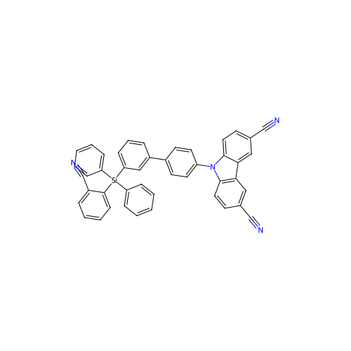 N#Cc1ccc2c(c1)c1cc(C#N)ccc1n2-c1ccc(-c2cccc([Si](c3ccccc3)(c3ccccc3)c3ccccc3C#N)c2)cc1